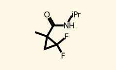 CC(C)NC(=O)C1(C)CC1(F)F